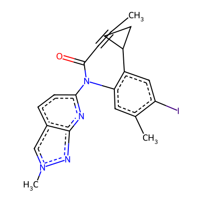 CC#CC(=O)N(c1ccc2cn(C)nc2n1)c1cc(C)c(I)cc1C1CC1